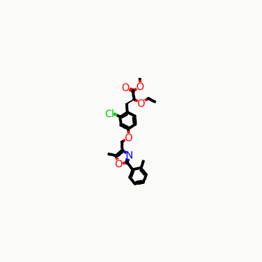 CCO[C@@H](Cc1ccc(OCc2nc(-c3ccccc3C)oc2C)cc1Cl)C(=O)OC